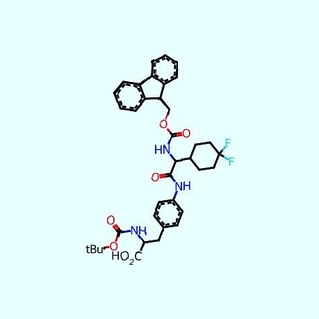 CC(C)(C)OC(=O)NC(Cc1ccc(NC(=O)C(NC(=O)OCC2c3ccccc3-c3ccccc32)C2CCC(F)(F)CC2)cc1)C(=O)O